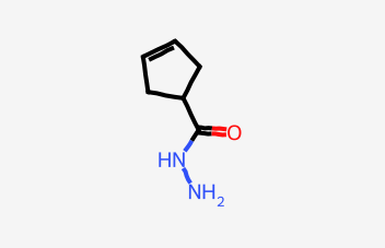 NNC(=O)C1CC=CC1